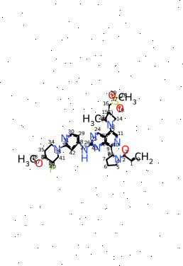 C=CC(=O)N1CCC[C@H]1c1ncc(N2C[C@H](CS(C)(=O)=O)[C@H]2C)c2cnc(Nc3ccnc(N4CC[C@@H](OC)[C@@H](F)C4)c3)nc12